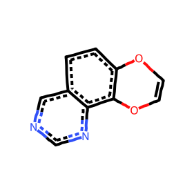 C1=COc2c(ccc3cncnc23)O1